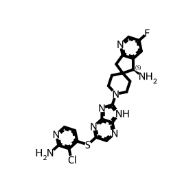 Nc1nccc(Sc2cnc3[nH]c(N4CCC5(CC4)Cc4ncc(F)cc4[C@H]5N)nc3n2)c1Cl